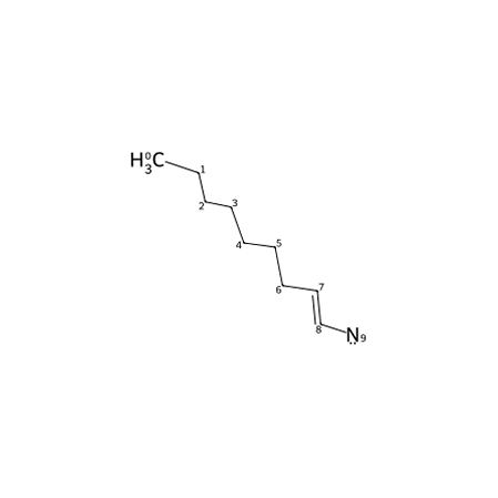 CCCCCCCC=C[N]